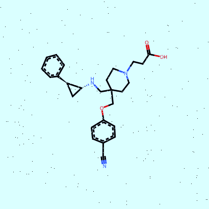 N#Cc1ccc(OCC2(CN[C@@H]3C[C@H]3c3ccccc3)CCN(CCC(=O)O)CC2)cc1